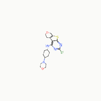 Clc1nc(N[C@H]2CC[C@H](N3CCOCC3)CC2)c2c3c(sc2n1)COCC3